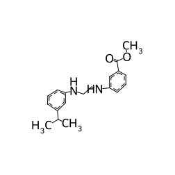 COC(=O)c1cccc(NCCNc2cccc(C(C)C)c2)c1